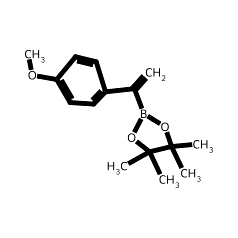 C=C(B1OC(C)(C)C(C)(C)O1)c1ccc(OC)cc1